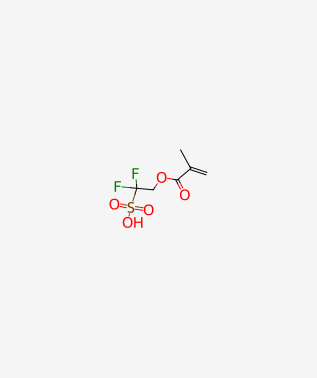 C=C(C)C(=O)OCC(F)(F)S(=O)(=O)O